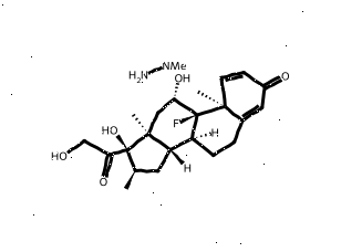 CNN.C[C@@H]1C[C@H]2[C@@H]3CCC4=CC(=O)C=C[C@]4(C)[C@@]3(F)[C@@H](O)C[C@]2(C)[C@@]1(O)C(=O)CO